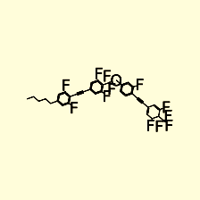 CCCCCc1cc(F)c(C#Cc2cc(F)c(C(F)(F)Oc3ccc(C#CC4=CC(F)C(C(F)(F)F)C(F)=C4)c(F)c3)c(F)c2)c(F)c1